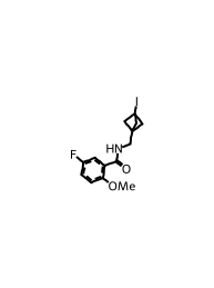 COc1ccc(F)cc1C(=O)NCC12CC(I)(C1)C2